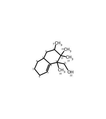 CC1CC2CCCC=C2C(C)(CO)C1(C)C